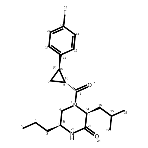 CCC[C@H]1CN(C(=O)[C@@H]2C[C@H]2c2ccc(F)cc2)[C@@H](CC(C)C)C(=O)N1